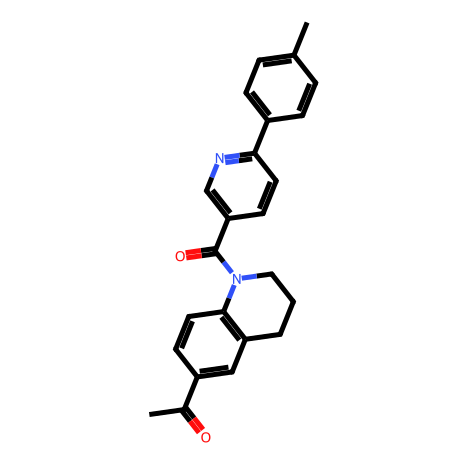 CC(=O)c1ccc2c(c1)CCCN2C(=O)c1ccc(-c2ccc(C)cc2)nc1